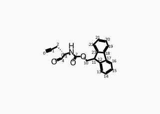 C#CC[C@@H](C=O)NC(=O)OCC1c2ccccc2-c2ccccc21